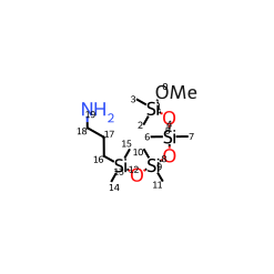 CO[Si](C)(C)O[Si](C)(C)O[Si](C)(C)O[Si](C)(C)CCCN